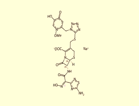 COn1cc(O)c(=O)cc1Cn1nnnc1SCC1=C(C(=O)[O-])N2C(=O)[C@@H](NC(=O)/C(=N\O)c3nsc(N)n3)[C@@H]2SC1.[Na+]